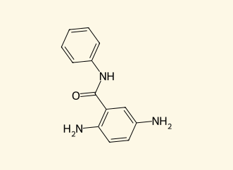 Nc1ccc(N)c(C(=O)Nc2ccccc2)c1